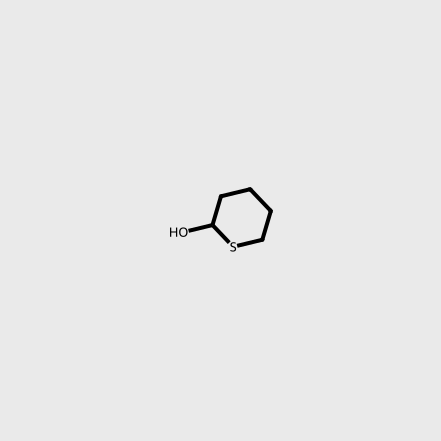 OC1CCCCS1